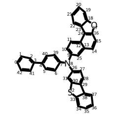 c1ccc(-c2ccc(N(c3ccc4c(ccc5oc6ccccc6c54)c3)c3ccc4c(c3)sc3ccccc34)cc2)cc1